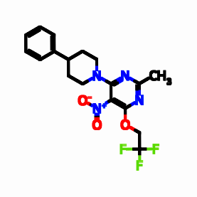 Cc1nc(OCC(F)(F)F)c([N+](=O)[O-])c(N2CCC(c3ccccc3)CC2)n1